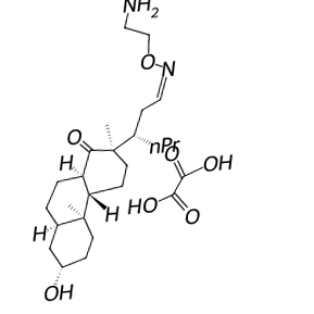 CCC[C@@H](C/C=N\OCCN)[C@@]1(C)CC[C@H]2[C@@H](CC[C@@H]3C[C@@H](O)CC[C@@]32C)C1=O.O=C(O)C(=O)O